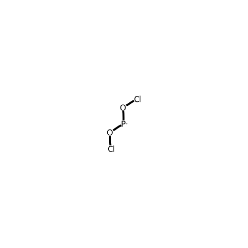 ClO[P]OCl